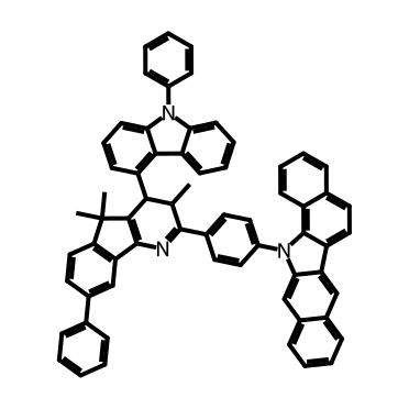 CC1C(c2ccc(-n3c4cc5ccccc5cc4c4ccc5ccccc5c43)cc2)=NC2=C(C1c1cccc3c1c1ccccc1n3-c1ccccc1)C(C)(C)c1ccc(-c3ccccc3)cc12